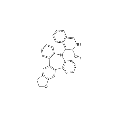 CC1NC=c2ccccc2=C1N1c2ccccc2-c2cc3c(cc2-c2ccccc21)OCC3